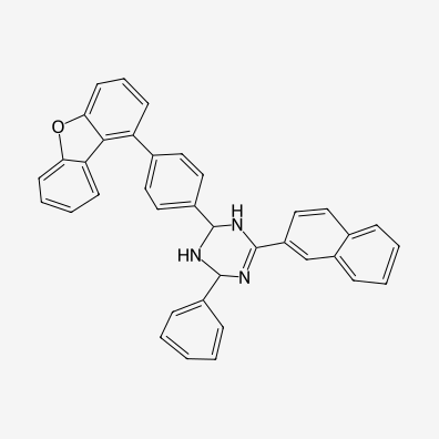 c1ccc(C2N=C(c3ccc4ccccc4c3)NC(c3ccc(-c4cccc5oc6ccccc6c45)cc3)N2)cc1